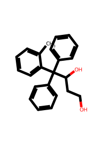 Cc1ccccc1C(c1ccccc1)(c1ccccc1)C(O)CCO